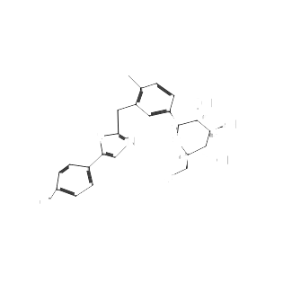 Cc1ccc([C@@H]2O[C@H](CO)[C@@H](O)[C@H](O)[C@H]2O)cc1Cc1ncc(-c2ccc(Cl)cc2)s1